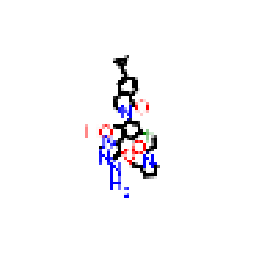 C=CC(=O)N1CCCC1COc1c(N)ncnc1-c1cc(F)cc(N2CCc3cc(C4CC4)ccc3C2=O)c1CO